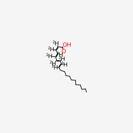 [2H]C(CCCCCCCCCCC)=C([2H])C([2H])=C([2H])C([2H])=C([2H])C([2H])=C([2H])C(=O)O